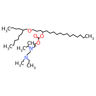 CCCCCCCCCCCCCC(CCCOCC(CCCC)CCCCCC)OC(=O)OCCN(CCN(CC)CC)C(C)C